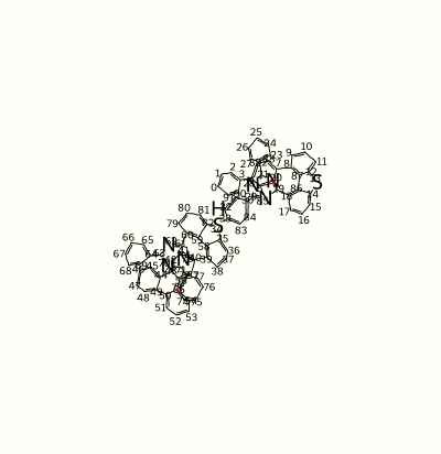 c1ccc(-c2ccc(-c3cccc4sc5cccc(-c6nc(-c7ccccc7)nc(-c7ccc([SH]8c9cccc(-c%10ccc%11c%12ccccc%12c%12ccccc%12c%11c%10)c9-c9c(-c%10nc(-c%11ccccc%11)nc(-c%11ccccc%11)n%10)cccc98)cc7)n6)c5c34)cc2)cc1